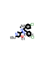 CCOc1cc(C(C)(C)C)ncc1C1=N[C@@](C)(c2ccc(Cl)cc2)[C@@](C)(c2ccc(Cl)cc2)N1C(=O)O.CNC